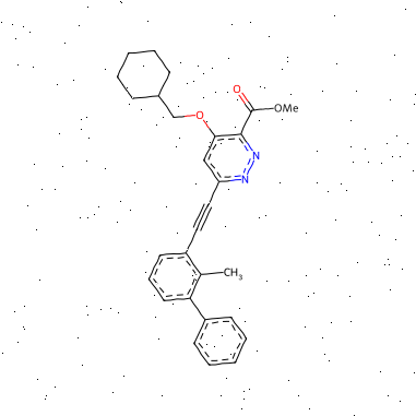 COC(=O)c1nnc(C#Cc2cccc(-c3ccccc3)c2C)cc1OCC1CCCCC1